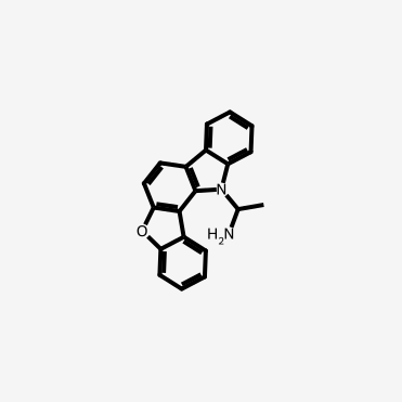 CC(N)n1c2ccccc2c2ccc3oc4ccccc4c3c21